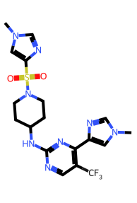 Cn1cnc(-c2nc(NC3CCN(S(=O)(=O)c4cn(C)cn4)CC3)ncc2C(F)(F)F)c1